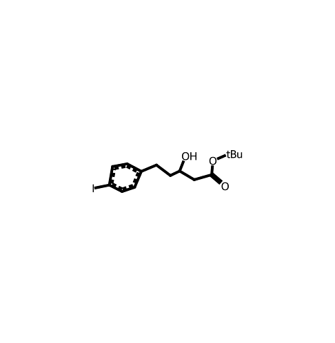 CC(C)(C)OC(=O)CC(O)CCc1ccc(I)cc1